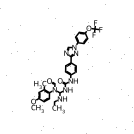 CCNC(NC(=O)Nc1ccc(-c2ncn(-c3ccc(OC(F)(F)F)cc3)n2)cc1)N(C=O)c1ccc(OC)cc1C